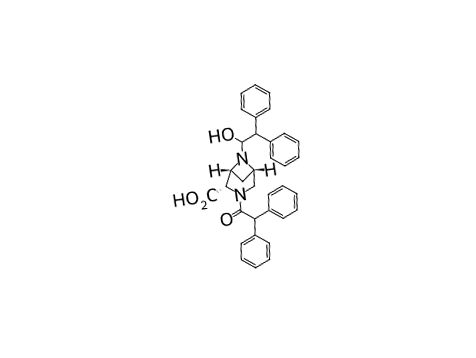 O=C(O)[C@@H]1[C@H]2C[C@@H](CN1C(=O)C(c1ccccc1)c1ccccc1)N2C(O)C(c1ccccc1)c1ccccc1